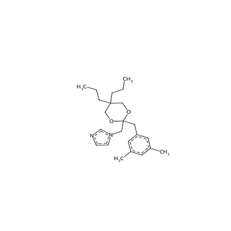 CCCC1(CCC)COC(Cc2cc(C)cc(C)c2)(Cn2ccnc2)OC1